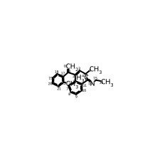 C=C(/C(=C/CC)c1ccccc1/C(C)=N/CC)c1ccccc1C